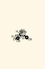 Cc1c(NC(CO[Si](C)(C)C(C)(C)C)C(=O)NNC(=O)c2ccc(C#N)cc2)ccc(C#N)c1Cl